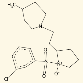 CC1CCN(CCC2CCC[N+]2([O-])S(=O)(=O)c2cccc(Cl)c2)CC1